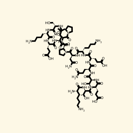 CC(C)C[C@H](NC(=O)[C@@H]1CCCN1C(=O)[C@H](CC(N)=O)NC(=O)[C@H](CCCCN)NC(=O)[C@H](CCC(=O)O)NC(=O)[C@H](CCC(N)=O)NC(=O)[C@@H](NC(=O)[C@H](CCC(=O)O)NC(=O)[C@@H](NC(=O)[C@@H](N)CCCCN)[C@@H](C)O)[C@@H](C)O)C(=O)N1CCC[C@H]1C(=O)N[C@@H](CO)C(=O)N[C@@H](CCCCN)C(=O)N[C@@H](CCC(=O)O)C(=O)N[C@H](C(=O)O)[C@@H](C)O